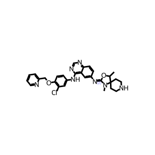 CC1O/C(=N\c2ccc3ncnc(Nc4ccc(OCc5ccccn5)c(Cl)c4)c3c2)N(C)C12CCNCC2